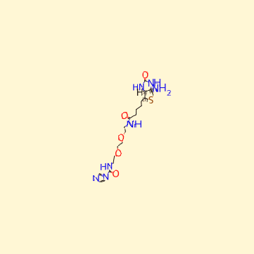 N[C@]12CS[C@@H](CCCCC(=O)NCCOCCOCCNC(=O)n3ccnc3)[C@H]1NC(=O)N2